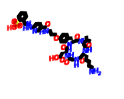 CC(C)C1NC(=O)[C@@H](Cc2ccc(OCCCNC(=O)c3ccc(N/N=C/c4ccccc4S(=O)(=O)O)nc3)cc2)NC(=O)[C@H](CC(=O)O)NC(=O)CNC(=O)[C@H](CCCCCN)NC1=O